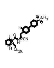 CC(C)(C)OCN1[C@@H]2CC[C@@H](C2)[C@H]1C(=O)N[C@H](C#N)Cc1ccc(-c2ccc(S(C)(=O)=O)cc2)cc1F